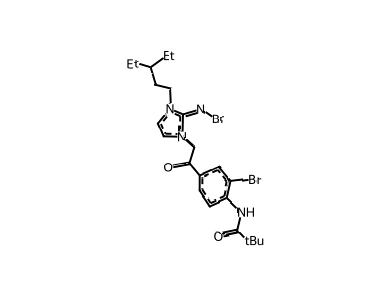 CCC(CC)CCn1ccn(CC(=O)c2ccc(NC(=O)C(C)(C)C)c(Br)c2)/c1=N\Br